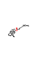 C#CC1C=CCC2CC[C@@H]3[C@H](CC[C@]4(C)[C@@H](OC(=O)/C=C/CCCCCCCCCCCCC)CC[C@@H]34)[C@@H]12